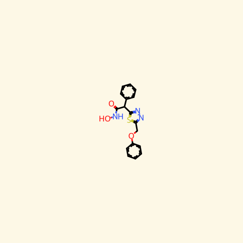 O=C(NO)C(c1ccccc1)c1nnc(COc2ccccc2)s1